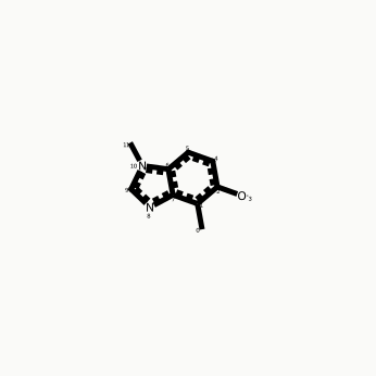 Cc1c([O])ccc2c1ncn2C